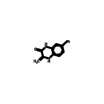 C=C1Nc2ccc(C(C)C)cc2NC1=O